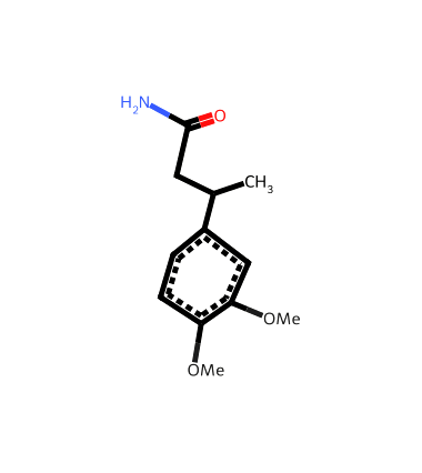 COc1ccc(C(C)CC(N)=O)cc1OC